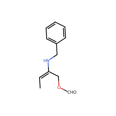 CC=C(COC=O)NCc1ccccc1